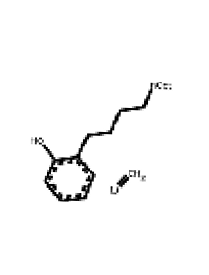 C=O.CCCCCCCCCCCCc1ccccc1O